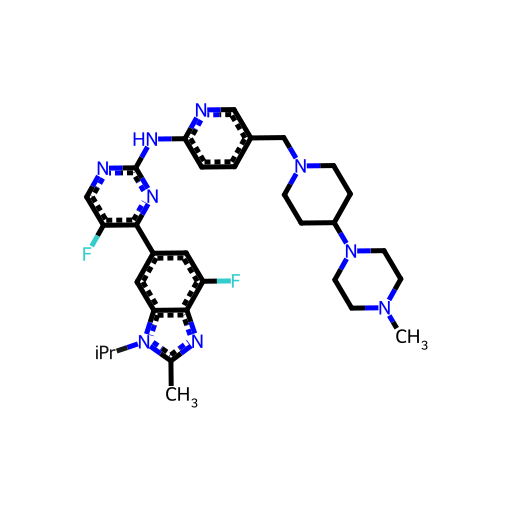 Cc1nc2c(F)cc(-c3nc(Nc4ccc(CN5CCC(N6CCN(C)CC6)CC5)cn4)ncc3F)cc2n1C(C)C